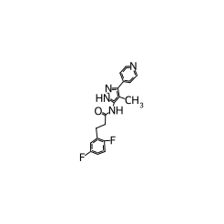 Cc1c(-c2ccncc2)n[nH]c1NC(=O)CCc1cc(F)ccc1F